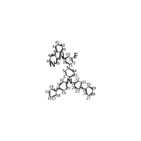 Fc1cc(-c2ccc(N(c3ccc(-c4ccccc4)cc3)c3ccc(-c4ccccc4)cc3)cc2)cc(-n2c3ccccc3c3ccncc32)c1